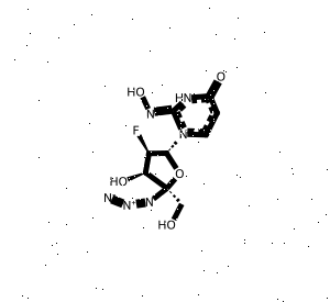 [N-]=[N+]=N[C@]1(CO)O[C@@H](n2ccc(=O)[nH]/c2=N\O)[C@H](F)[C@@H]1O